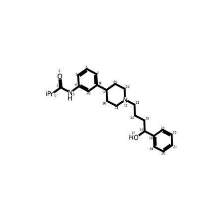 CC(C)C(=O)Nc1cccc(C2CCN(CCCC(O)c3ccccc3)CC2)c1